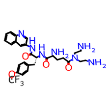 NCCN(CCN)C(=O)CC[C@H](N)C(=O)N[C@H](Cc1ccc(OC(F)(F)F)cc1)C(=O)Nc1cnc2ccccc2c1